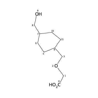 O=C(O)COCC1CCC(CO)CC1